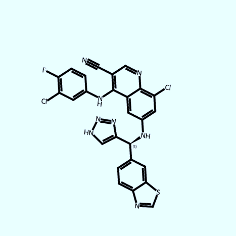 N#Cc1cnc2c(Cl)cc(N[C@@H](c3ccc4ncsc4c3)c3c[nH]nn3)cc2c1Nc1ccc(F)c(Cl)c1